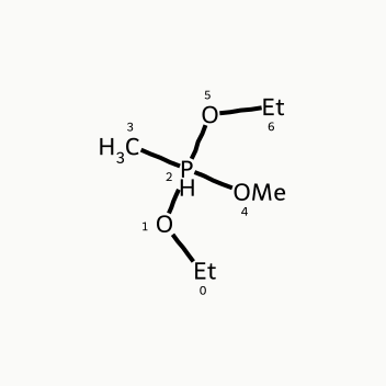 CCO[PH](C)(OC)OCC